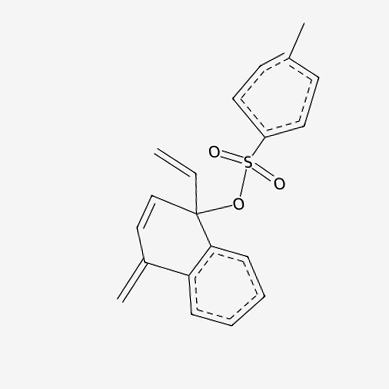 C=CC1(OS(=O)(=O)c2ccc(C)cc2)C=CC(=C)c2ccccc21